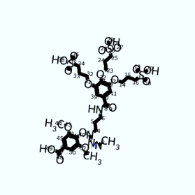 C/N=N\N(CCCNC(=O)c1cc(OCCCS(=O)(=O)O)c(OCCCS(=O)(=O)O)c(OCCCS(=O)(=O)O)c1)Oc1c(OC)cc(C(=O)O)cc1OC